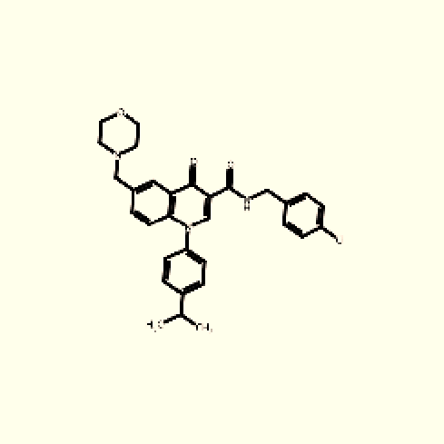 CC(C)c1ccc(-n2cc(C(=O)NCc3ccc(Cl)cc3)c(=O)c3cc(CN4CCOCC4)ccc32)cc1